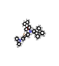 c1ccc(-c2cccc3cccc(-c4ccc(N(c5ccc6c(c5)-c5ccccc5C6(c5ccccc5)c5ccccc5)c5ccc6c(c5)sc5cc(-n7c8ccccc8c8ccccc87)ccc56)cc4)c23)cc1